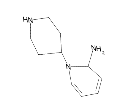 NC1C=CC=CN1C1CCNCC1